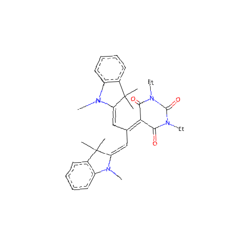 CCN1C(=O)C(=C(C=C2N(C)c3ccccc3C2(C)C)C=C2N(C)c3ccccc3C2(C)C)C(=O)N(CC)C1=O